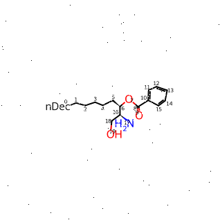 CCCCCCCCCCCCCCC[C@@H](OC(=O)c1ccccc1)[C@@H](N)CO